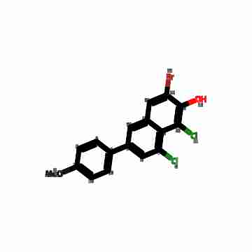 COc1ccc(-c2cc(Cl)c3c(Cl)c(O)c(Br)cc3c2)cc1